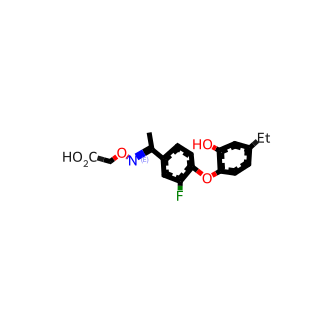 CCc1ccc(Oc2ccc(/C(C)=N/OCC(=O)O)cc2F)c(O)c1